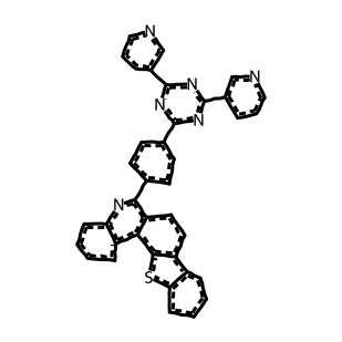 c1cncc(-c2nc(-c3ccc(-c4nc5ccccc5c5c4ccc4c6ccccc6sc45)cc3)nc(-c3cccnc3)n2)c1